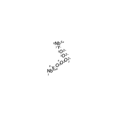 [Nb+5].[Nb+5].[O-2].[O-2].[O-2].[O-2].[O-2].[Y].[Y]